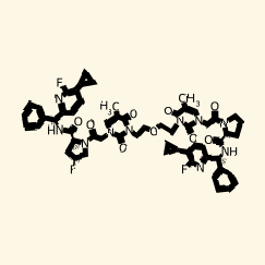 Cc1cn(CC(=O)N2CCC[C@H]2C(=O)N[C@@H](c2ccccc2)c2ccc(C3CC3)c(F)n2)c(=O)n(CCOCCn2c(=O)c(C)cn(CC(=O)N3C[C@H](F)C[C@H]3C(=O)N[C@@H](c3ccccc3)c3ccc(C4CC4)c(F)n3)c2=O)c1=O